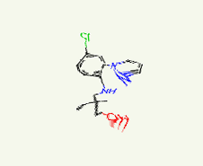 CC(C)(CO)CNc1ccc(Cl)cc1-n1cccn1